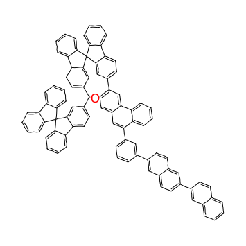 O=C(C1=CCC2C(=C1)C1(c3ccccc3-c3ccc(-c4ccc5cc(-c6cccc(-c7ccc8cc(-c9ccc%10ccccc%10c9)ccc8c7)c6)c6ccccc6c5c4)cc31)c1ccccc12)c1ccc2c(c1)C1(c3ccccc3-c3ccccc31)c1ccccc1-2